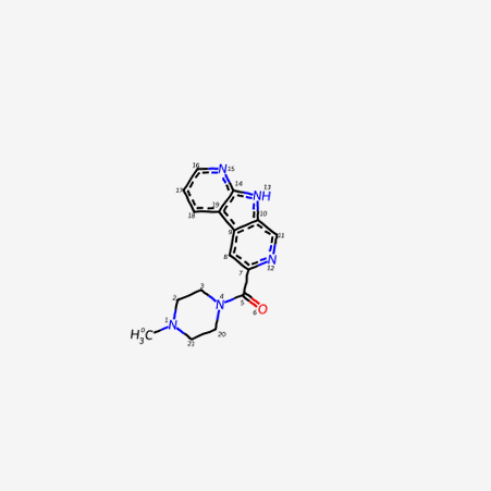 CN1CCN(C(=O)c2cc3c(cn2)[nH]c2ncccc23)CC1